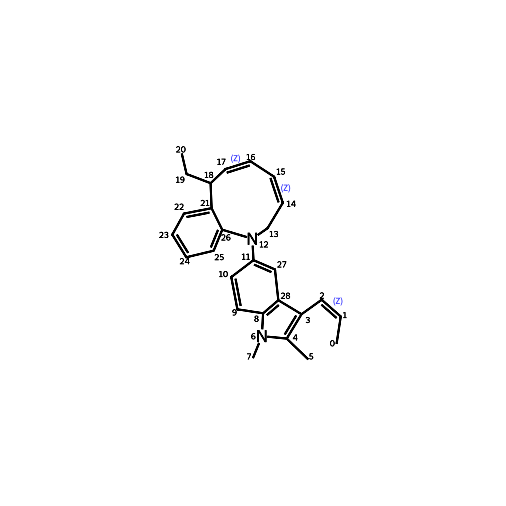 C/C=C\c1c(C)n(C)c2ccc(N3C/C=C\C=C/C(CC)c4ccccc43)cc12